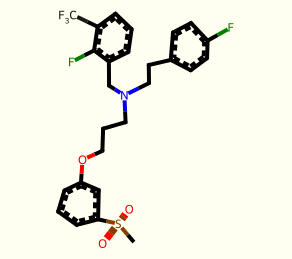 CS(=O)(=O)c1cccc(OCCCN(CCc2ccc(F)cc2)Cc2cccc(C(F)(F)F)c2F)c1